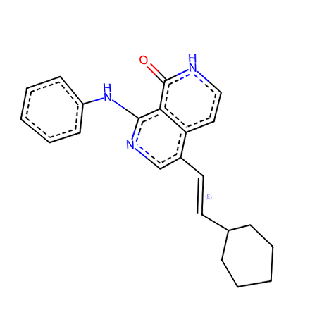 O=c1[nH]ccc2c(/C=C/C3CCCCC3)cnc(Nc3ccccc3)c12